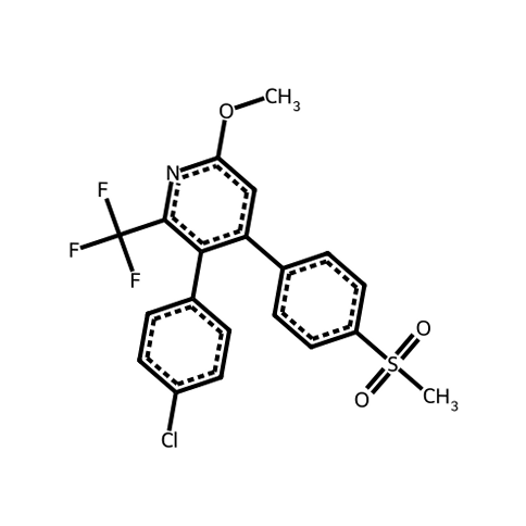 COc1cc(-c2ccc(S(C)(=O)=O)cc2)c(-c2ccc(Cl)cc2)c(C(F)(F)F)n1